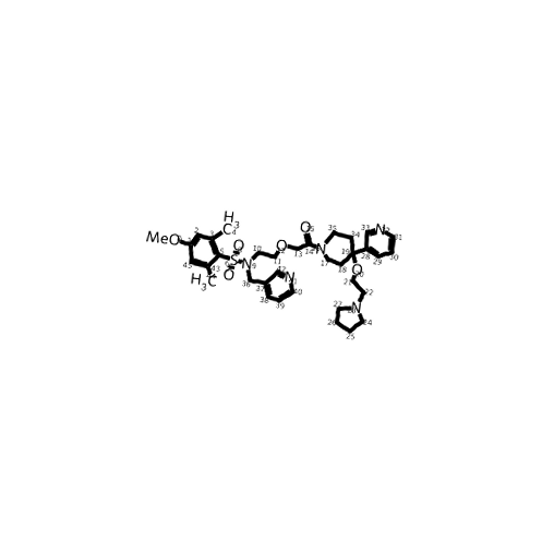 COc1cc(C)c(S(=O)(=O)N(CCOCC(=O)N2CCC(OCCN3CCCC3)(c3cccnc3)CC2)Cc2cccnc2)c(C)c1